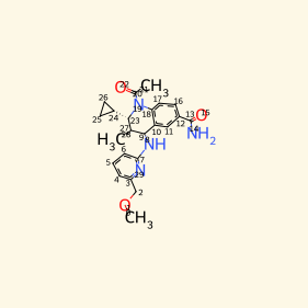 COCc1cccc(N[C@H]2c3cc(C(N)=O)ccc3N(C(C)=O)[C@@H](C3CC3)[C@@H]2C)n1